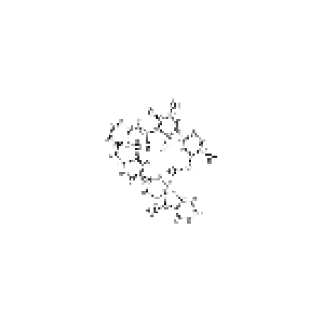 COc1cc(-c2cn(C)c(=O)c(C(=O)Nc3cccc(Sc4cnc(N5CCC6(CC5)Cc5ccccc5[C@H]6N)cn4)c3Cl)c2O)ccc1O